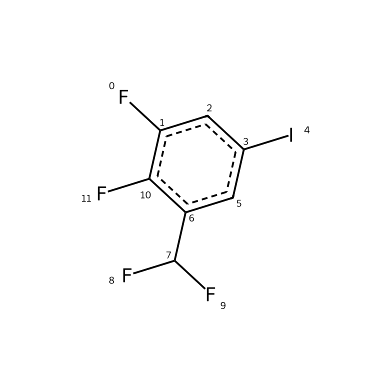 Fc1cc(I)cc(C(F)F)c1F